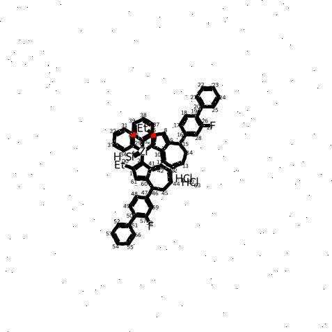 CCC1=[C]([Zr](=[SiH2])([C]2=C(CC)C=C3C2=CC=CCC3c2ccc(-c3ccccc3)c(F)c2)([c]2ccccc2)[c]2ccccc2)C2=CC=CCC(c3ccc(-c4ccccc4)c(F)c3)C2=C1.Cl.Cl